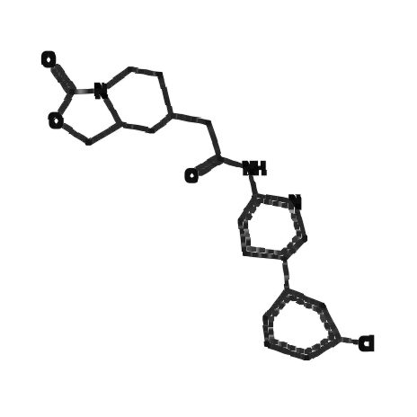 O=C(CC1CCN2C(=O)OCC2C1)Nc1ccc(-c2cccc(Cl)c2)cn1